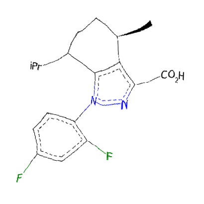 CC(C)C1CC[C@@H](C)c2c(C(=O)O)nn(-c3ccc(F)cc3F)c21